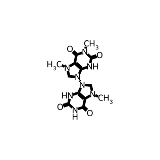 CN1CN(N2CN(C)c3c2[nH]c(=O)n(C)c3=O)c2[nH]c(=O)[nH]c(=O)c21